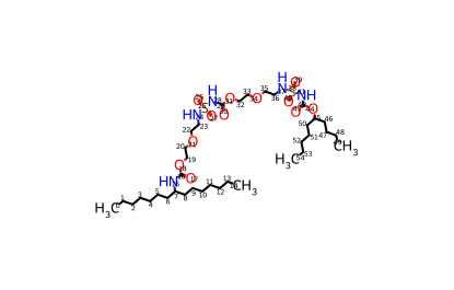 CCCCCCCC(CCCCCCC)NC(=O)OCCOCCNS(=O)(=O)NC(=O)OCCOCCNS(=O)(=O)NC(=O)OC(CCCC)CCCCC